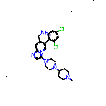 CN1CCC(N2CCN(c3cnc4cc(CN)c(-c5ccc(Cl)cc5Cl)cn34)CC2)CC1